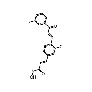 Cc1cccc(C(=O)C=Cc2ccc(C=CC(=O)NO)cc2Cl)c1